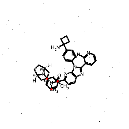 CC(=O)N(C)[C@@H]1C[C@H]2CC[C@@H](C1)N2c1cccc(-c2ccc3nc(-c4cccnc4N)n(-c4ccc(C5(N)CCC5)cc4)c3n2)c1